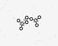 c1ccc(-c2nc(-c3ccccc3)nc(-c3ccc(-c4cccc5oc6c(-c7nc(-c8ccccc8)nc(-c8ccccc8)n7)cccc6c45)cc3)n2)cc1